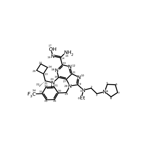 CCN(CCN1CCCC1)c1nc2nc(/C(N)=N/O)nc(N[C@H](C)C3CCC3)c2n1Cc1ccc(C(F)(F)F)cc1